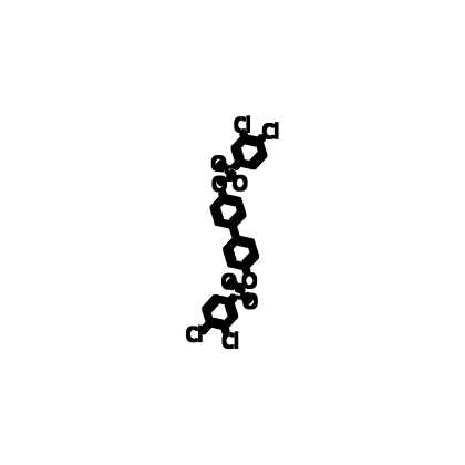 O=S(=O)(Oc1ccc(-c2ccc(OS(=O)(=O)c3ccc(Cl)c(Cl)c3)cc2)cc1)c1ccc(Cl)c(Cl)c1